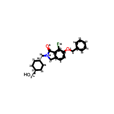 O=C1c2c(ccc(OCc3ccccc3)c2F)CN1C[C@H]1CC[C@H](C(=O)O)CC1